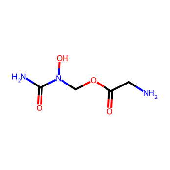 NCC(=O)OCN(O)C(N)=O